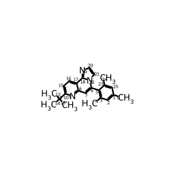 Cc1cc(C)c(-c2cc3nc(C(C)(C)C)ccc3c3nccn23)c(C)c1